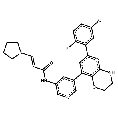 O=C(C=CN1CCCC1)Nc1cncc(-c2cc(-c3cc(Cl)ccc3F)nc3c2OCCN3)c1